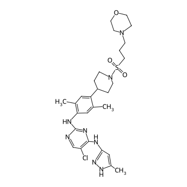 Cc1cc(Nc2nc(Nc3cc(C)c(C4CCN(S(=O)(=O)CCCN5CCOCC5)CC4)cc3C)ncc2Cl)n[nH]1